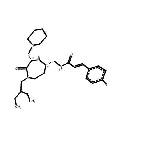 CCC(CC)CN1CC[C@@H](CNC(=O)/C=C/c2ccc(I)cc2)N[C@@H](CN2CCCCC2)C1=O